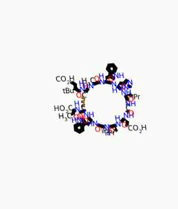 CC(C)C[C@@H]1NC(=O)[C@H](Cc2cnc[nH]2)NC(=O)[C@H](Cc2c[nH]c3ccccc23)NC(=O)[C@H](C)NC(=O)[C@@H](NC(=O)[C@H](CCC(=O)O)C(C)(C)C)CSSCC(C(=O)N[C@H](C(=O)O)[C@@H](C)O)NC(=O)[C@H](Cc2c[nH]c3ccccc23)NC(=O)[C@H](C(C)C)NC(=O)[C@H](CC(C)C)NC(=O)[C@H](CCC(=O)O)NC(=O)CNC1=O